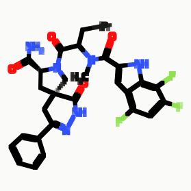 CC(C)CC(C(=O)N1C[C@]2(CC(c3ccccc3)=NNC2=O)C[C@H]1C(N)=O)N(C)C(=O)c1cc2c(F)cc(F)c(F)c2[nH]1